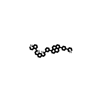 c1cncc(-c2ccc(-c3ccc4ccc5c(-c6cccc(-c7ccc8ccc9ccc(-c%10cccc%11ncccc%10%11)nc9c8n7)c6)ccc6ccc3c4c65)cc2)c1